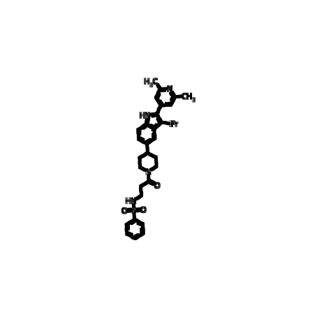 Cc1cc(-c2[nH]c3ccc(C4CCN(C(=O)CCNS(=O)(=O)c5ccccc5)CC4)cc3c2C(C)C)cc(C)n1